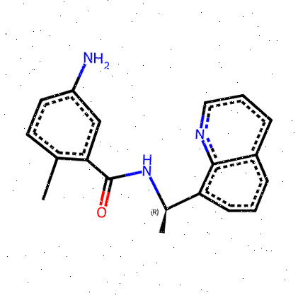 Cc1ccc(N)cc1C(=O)N[C@H](C)c1cccc2cccnc12